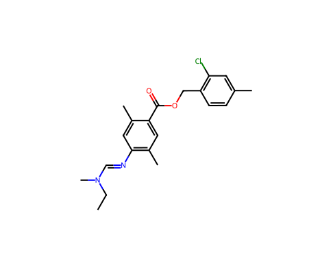 CCN(C)/C=N/c1cc(C)c(C(=O)OCc2ccc(C)cc2Cl)cc1C